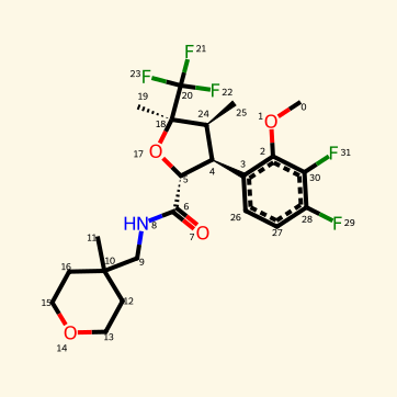 COc1c([C@H]2[C@H](C(=O)NCC3(C)CCOCC3)O[C@@](C)(C(F)(F)F)[C@H]2C)ccc(F)c1F